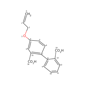 C=CCOc1ccc(-c2ccccc2C(=O)O)c(C(=O)O)c1